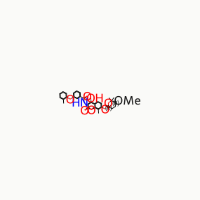 CO[C@@H]1CC[C@H](Oc2ccc3c(O)c(NC(=O)c4cccc(Oc5ccccc5C)c4)c(=O)oc3c2C)OC1(C)C